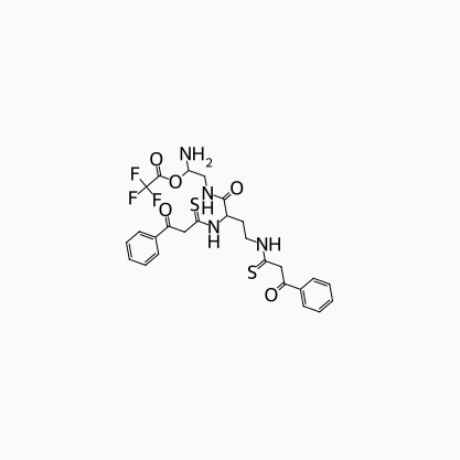 NC(CNC(=O)C(CCNC(=S)CC(=O)c1ccccc1)NC(=S)CC(=O)c1ccccc1)OC(=O)C(F)(F)F